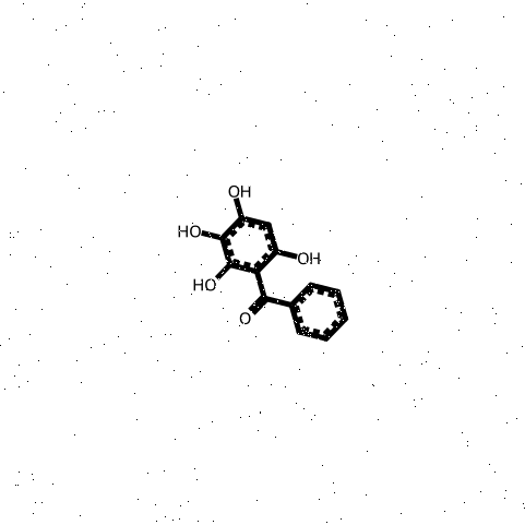 O=C(c1ccccc1)c1c(O)cc(O)c(O)c1O